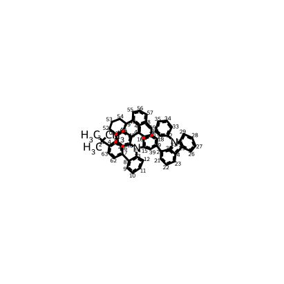 CC(C)(C)c1ccc(-c2ccccc2N(c2cccc(-c3cccc4c5ccccc5n(-c5ccccc5)c34)c2)c2ccccc2C2=c3c(C4CCCCC4)cccc3=CCC2)cc1